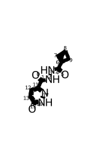 O=C(NNC(=O)C12CC(C1)C2)c1ccc(=O)[nH]n1